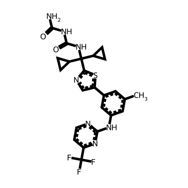 Cc1cc(Nc2nccc(C(F)(F)F)n2)cc(-c2cnc(C(NC(=O)NC(N)=O)(C3CC3)C3CC3)s2)c1